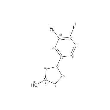 ON1CCC(c2ccc(F)c(Cl)c2)C1